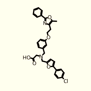 Cc1oc(-c2ccccc2)nc1CCOc1cccc(CN(CC(=O)O)Cc2ccc(-c3ccc(Cl)cc3)o2)c1